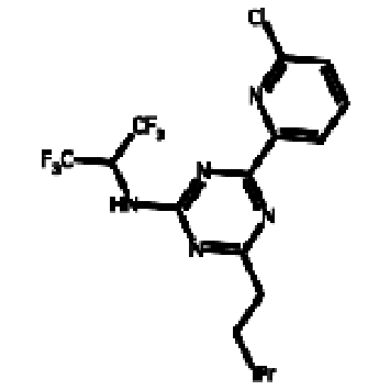 CC(C)CCc1nc(NC(C(F)(F)F)C(F)(F)F)nc(-c2cccc(Cl)n2)n1